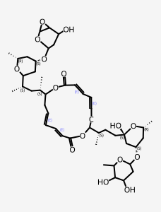 CC1OC(O[C@H]2C[C@@H](C)O[C@@](O)(CC[C@H](C)C3C/C=C/C=C/C(=O)OC([C@@H](C)C[C@H](C)C4C[C@@H](OC5CC(O)C6OC6O5)C[C@@H](C)O4)C/C=C/C=C/C(=O)O3)C2)CC(O)C1O